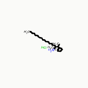 C=CC(c1ccccc1)C(CCCCCCCCCCCCCCCC)C(C)(C)N.Cl